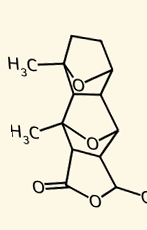 CC12CCC(O1)C1C3OC(C)(C4C(=O)OC(O)C34)C12